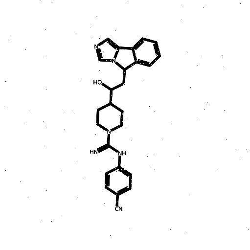 N#Cc1ccc(NC(=N)N2CCC(C(O)CC3c4ccccc4-c4cncn43)CC2)cc1